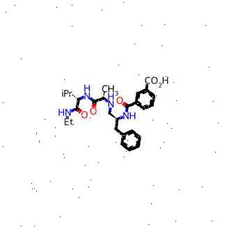 CCNC(=O)[C@@H](NC(=O)[C@H](C)NC[C@H](Cc1ccccc1)NC(=O)c1cccc(C(=O)O)c1)C(C)C